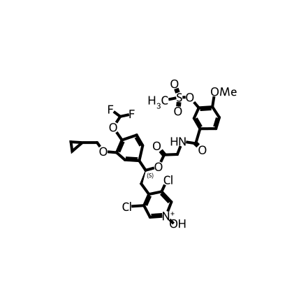 COc1ccc(C(=O)NCC(=O)O[C@@H](Cc2c(Cl)c[n+](O)cc2Cl)c2ccc(OC(F)F)c(OCC3CC3)c2)cc1OS(C)(=O)=O